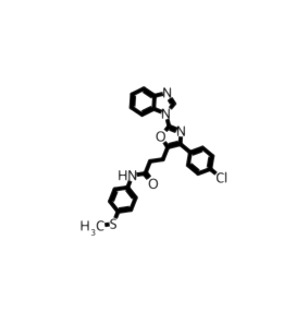 CSc1ccc(NC(=O)CCc2oc(-n3cnc4ccccc43)nc2-c2ccc(Cl)cc2)cc1